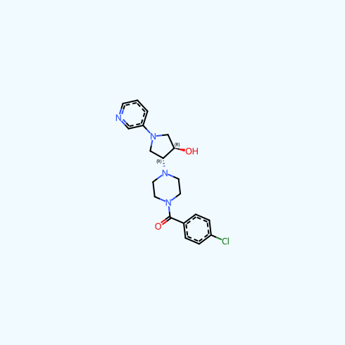 O=C(c1ccc(Cl)cc1)N1CCN([C@@H]2CN(c3cccnc3)C[C@H]2O)CC1